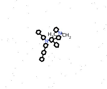 C=CN(c1ccccc1)c1cccc(-c2ccc(N(c3ccc(-c4ccccc4)cc3)c3ccc(-c4ccc(-c5ccccc5)cc4)cc3)cc2-c2ccccc2)c1C